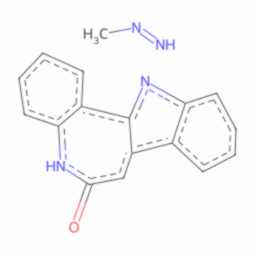 CN=N.O=c1cc2c3ccccc3nc-2c2ccccc2[nH]1